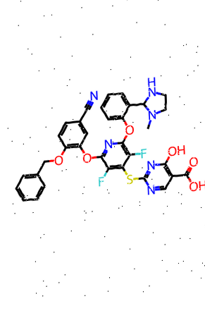 CN1CCNC1c1ccccc1Oc1nc(Oc2cc(C#N)ccc2OCc2ccccc2)c(F)c(Sc2ncc(C(=O)O)c(O)n2)c1F